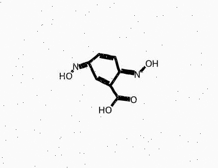 O=C(O)C1=CC(=N\O)/C=CC/1=N\O